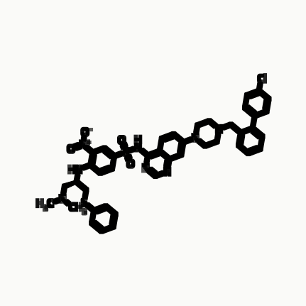 CN(C)C[C@H](CSc1ccccc1)Nc1ccc(S(=O)(=O)Nc2ncnc3cc(N4CCN(Cc5ccccc5-c5ccc(Cl)cc5)CC4)ccc23)cc1[N+](=O)[O-]